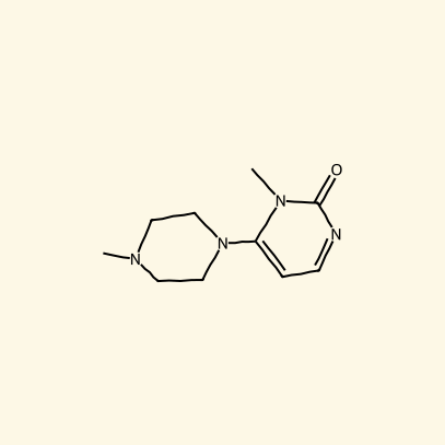 CN1CCN(c2ccnc(=O)n2C)CC1